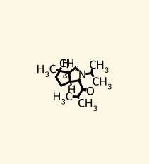 CC(C)C(=O)C1[C@H]2CCC(C)(C)[C@H]2CN1C(C)C